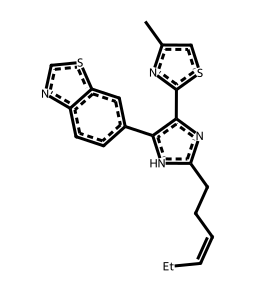 CC/C=C\CCc1nc(-c2nc(C)cs2)c(-c2ccc3ncsc3c2)[nH]1